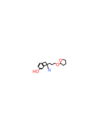 N#CC1(CCCOC2CCCCO2)Cc2ccc(O)cc21